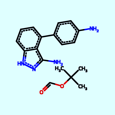 CC(C)(C)OC=O.Nc1ccc(-c2cccc3[nH]nc(N)c23)cc1